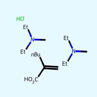 C=C(CCCC)C(=O)O.CCN(C)CC.CCN(C)CC.Cl